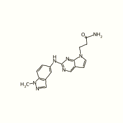 Cn1ncc2cc(Nc3ncc4ccn(CCC(N)=O)c4n3)ccc21